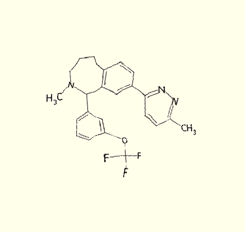 Cc1ccc(-c2ccc3c(c2)C(c2cccc(OC(F)(F)F)c2)N(C)CCC3)nn1